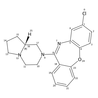 Clc1ccc2c(c1)N=C(N1CCN3CCC[C@@H]3C1)c1ccccc1O2